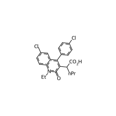 CCCC(C(=O)O)c1c(-c2ccc(Cl)cc2)c2cc(Cl)ccc2n(CC)c1=O